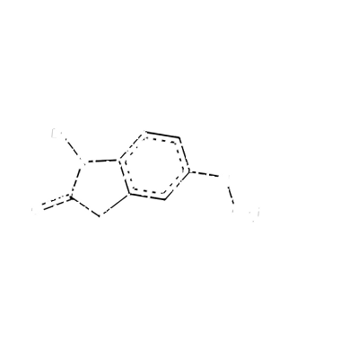 CCN1C(=O)Cc2cc(OC(=O)O)ccc21